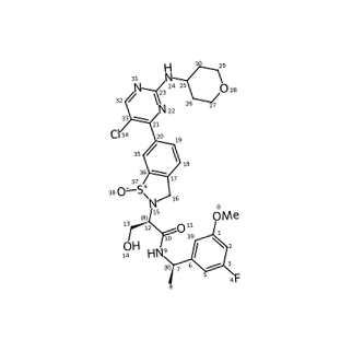 COc1cc(F)cc([C@@H](C)NC(=O)[C@@H](CO)N2Cc3ccc(-c4nc(NC5CCOCC5)ncc4Cl)cc3[S+]2[O-])c1